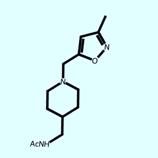 CC(=O)NCC1CCN(Cc2cc(C)no2)CC1